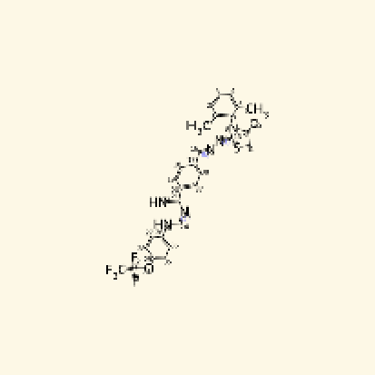 Cc1cccc(C)c1N1C(=O)CS/C1=N\N=C\c1ccc(C(=N)/N=C\Nc2ccc(OC(F)(F)C(F)(F)F)cc2)cc1